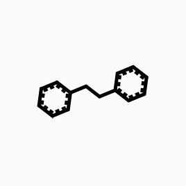 [c]1cccc(CCc2ccccc2)c1